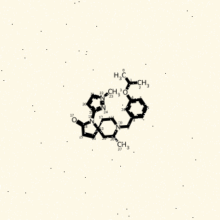 CC(C)Oc1cccc(CN2CC[C@]3(C=CC(=O)N3c3ccn(C)n3)C[C@@H]2C)c1